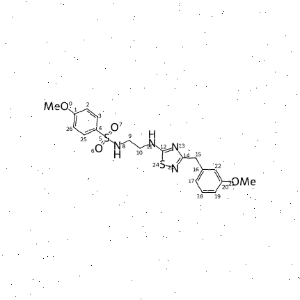 COc1ccc(S(=O)(=O)NCCNc2nc(Cc3cccc(OC)c3)ns2)cc1